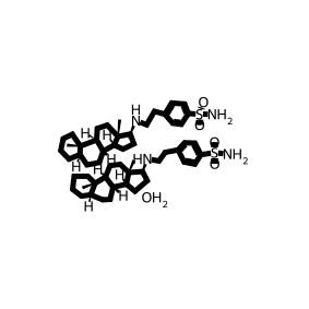 C[C@]12CCCC[C@@H]1CC[C@@H]1[C@@H]2CC[C@]2(C)[C@@H](NCCc3ccc(S(N)(=O)=O)cc3)CC[C@@H]12.C[C@]12CCCC[C@@H]1CC[C@@H]1[C@@H]2CC[C@]2(C)[C@@H](NCCc3ccc(S(N)(=O)=O)cc3)CC[C@@H]12.O